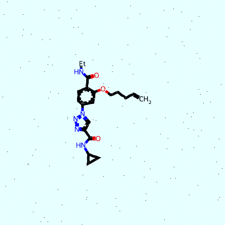 C=CCCCOc1cc(-n2cc(C(=O)NC3CC3)nn2)ccc1C(=O)NCC